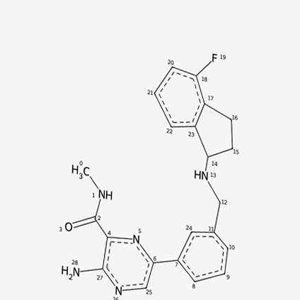 CNC(=O)c1nc(-c2cccc(CNC3CCc4c(F)cccc43)c2)cnc1N